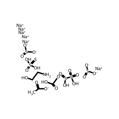 CC(=O)[O-].NCCO.O=C([O-])O.O=S(O)(O)=S.O=S(O)S(=O)(=O)O.O=S([O-])[O-].O=S([O-])[O-].[Na+].[Na+].[Na+].[Na+].[Na+].[Na+]